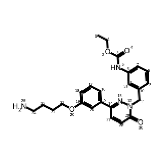 CCOC(=O)Nc1cccc(Cn2nc(-c3cccc(OCCCCN)c3)ccc2=O)c1